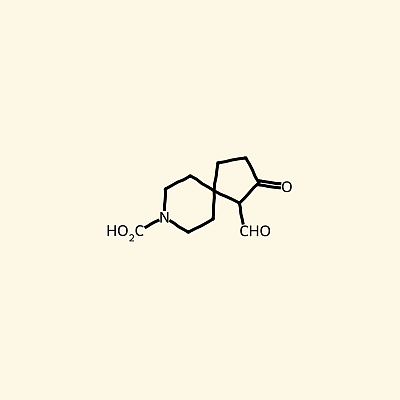 O=CC1C(=O)CCC12CCN(C(=O)O)CC2